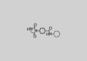 O=C(NC1CCCCC1)c1ccc(N2C(=O)CNC2=O)cc1